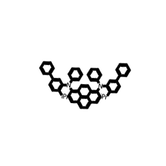 CC(C)c1ccc(-c2ccccc2)cc1N(c1ccccc1)c1ccc2ccc3ccc(N(c4ccccc4)c4cc(-c5ccccc5)ccc4C(C)C)c4ccc1c2c34